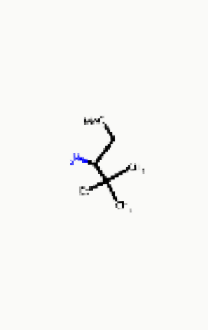 CCC(C)(C)C(N)COC